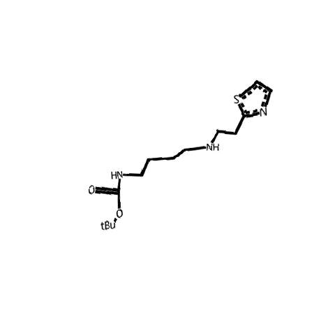 CC(C)(C)OC(=O)NCCCCNCCc1nccs1